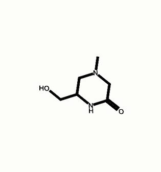 CN1CC(=O)NC(CO)C1